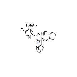 COc1nc(C(=N)/C=C(\NCc2ccccc2F)c2ccon2)ncc1F